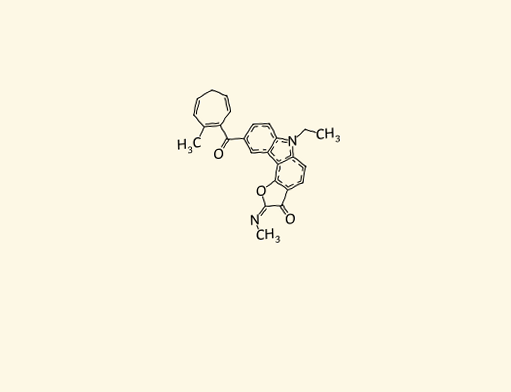 CCn1c2ccc(C(=O)C3=C(C)C=CCC=C3)cc2c2c3c(ccc21)C(=O)/C(=N\C)O3